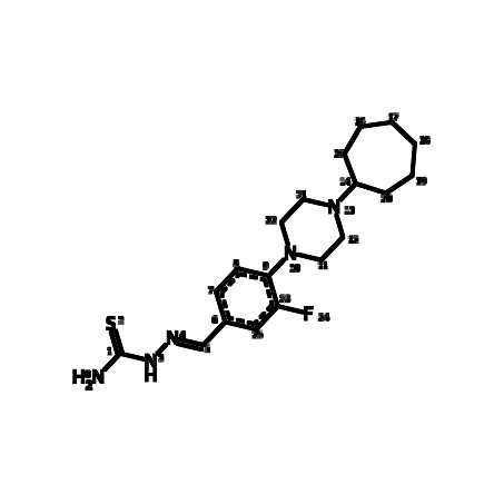 NC(=S)NN=Cc1ccc(N2CCN(C3CCCCCC3)CC2)c(F)c1